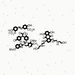 COc1ccc2[nH]c([S+]([O-])Cc3ncc(C)c(OC)c3C)nc2c1.Clc1ccc(C(c2ccccc2Cl)C(Cl)Cl)cc1.O=C(O)c1cc(/N=N/c2ccc(O)c(C(=O)O)c2)ccc1O.O=C1c2c(O)ccc(O)c2C(=O)c2c(NCCNCCO)ccc(NCCNCCO)c21